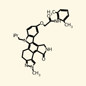 Cc1cccc(C)c1NC(=O)COc1ccc2c(c1)c1c3c(c4c(c1n2CC(C)C)CCc1nn(C)cc1-4)C(=O)NC3